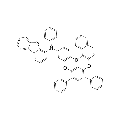 c1ccc(-c2cc(-c3ccccc3)c3c4c2Oc2cc(N(c5ccccc5)c5cccc6c5sc5ccccc56)ccc2B4c2c(ccc4ccccc24)O3)cc1